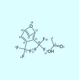 CC(=O)O.FC(F)(F)c1cc2cc(c1C(F)(F)F)O2